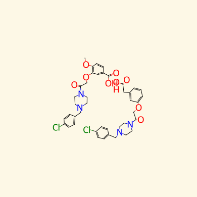 COc1ccc(C(=O)O)cc1OCC(=O)N1CCN(Cc2ccc(Cl)cc2)CC1.O=C(O)Cc1cccc(OCC(=O)N2CCN(Cc3ccc(Cl)cc3)CC2)c1